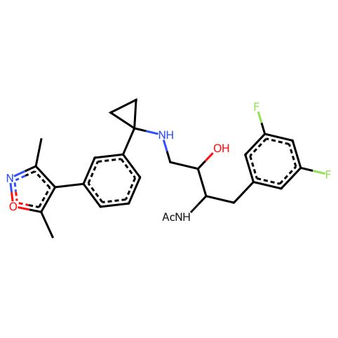 CC(=O)NC(Cc1cc(F)cc(F)c1)C(O)CNC1(c2cccc(-c3c(C)noc3C)c2)CC1